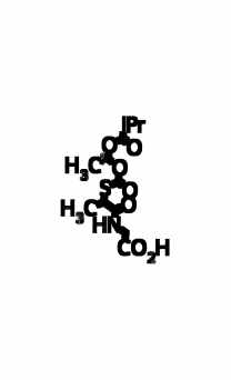 CC(C)C(=O)O[C@@H](C)OC(=O)SC(C)C(=O)NCC(=O)O